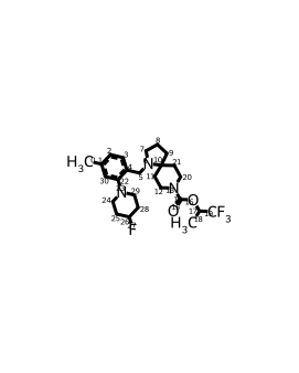 Cc1ccc(CN2CCCC23CCN(C(=O)OC(C)C(F)(F)F)CC3)c(N2CCC(F)CC2)c1